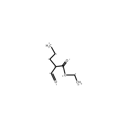 CCCC(C=O)C(=O)OCC